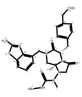 CCCCNC(=O)N(C)N1CC(=O)N2[C@@H](Cc3ccc(CC=O)cc3)C(=O)N(Cc3cccc4sc(N)nc34)C[C@@H]21